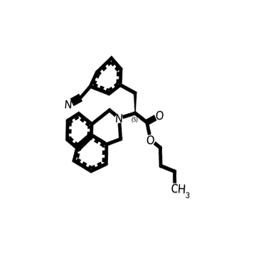 CCCCOC(=O)[C@H](Cc1cccc(C#N)c1)N(Cc1ccccc1)Cc1ccccc1